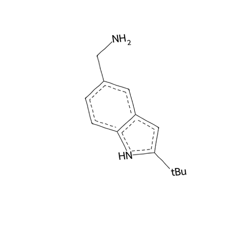 CC(C)(C)c1cc2cc(CN)ccc2[nH]1